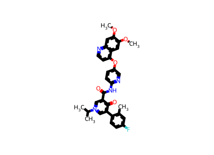 COc1cc2nccc(Oc3ccc(NC(=O)c4cn(C(C)C)cc(-c5ccc(F)cc5C)c4=O)nc3)c2cc1OC